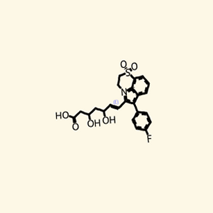 O=C(O)CC(O)CC(O)/C=C/c1c(-c2ccc(F)cc2)c2cccc3c2n1CCS3(=O)=O